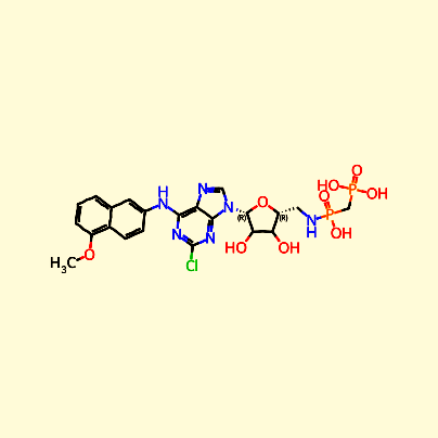 COc1cccc2cc(Nc3nc(Cl)nc4c3ncn4[C@@H]3O[C@H](CNP(=O)(O)CP(=O)(O)O)C(O)C3O)ccc12